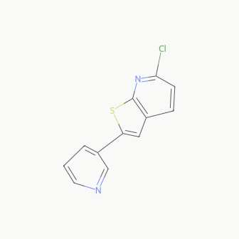 Clc1ccc2cc(-c3cccnc3)sc2n1